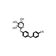 N#Cc1ccc(Cc2ccc(S[C@@H]3SC[C@@H](O)[C@H](O)[C@H]3O)cc2)cc1